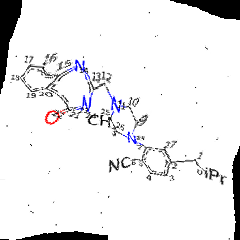 CC(C)Cc1ccc(C#N)c(N2CCN(Cc3nc4ccccc4c(=O)n3C)CC2)c1